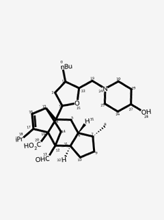 CCCCC1CC(C23C[C@@H]4[C@H](C)CC[C@H]4C4(C=O)CC2C=C(C(C)C)C34C(=O)O)OC1CN1CCC(O)CC1